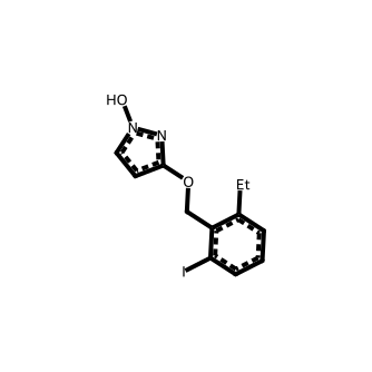 CCc1cccc(I)c1COc1ccn(O)n1